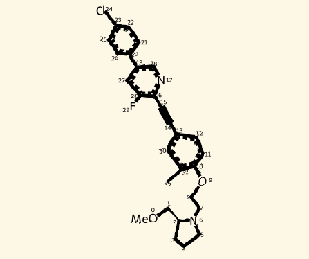 COC[C@@H]1CCCN1CCOc1ccc(C#Cc2ncc(-c3ccc(Cl)cc3)cc2F)cc1C